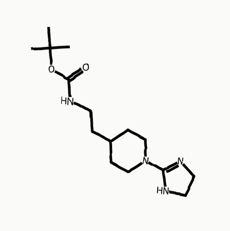 CC(C)(C)OC(=O)NCCC1CCN(C2=NCCN2)CC1